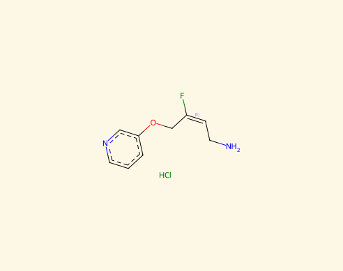 Cl.NC/C=C(/F)COc1cccnc1